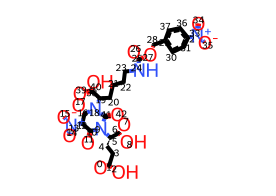 O=C(O)CC[C@@H](C(=O)O)N1C(=O)C([N+](=O)[O-])C(=O)N(C(CCCCNC(=O)OCc2ccc([N+](=O)[O-])cc2)C(=O)O)C1=O